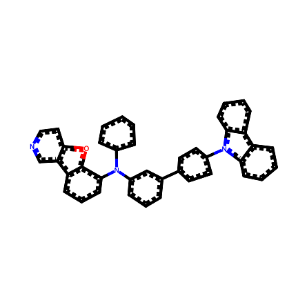 c1ccc(N(c2cccc(-c3ccc(-n4c5ccccc5c5ccccc54)cc3)c2)c2cccc3c2oc2ccncc23)cc1